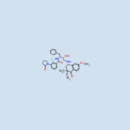 COc1ccc2c(c1)[C@@H](NC[C@@H](O)[C@H](Cc1ccccc1)NC(=O)c1cccc(N3CCCC3=O)c1F)CC(C)(C)C2=O